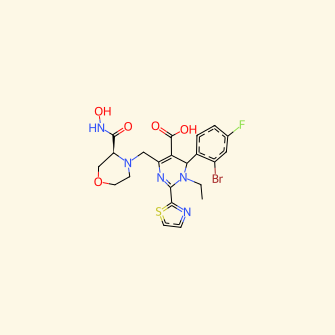 CCN1C(c2nccs2)=NC(CN2CCOC[C@H]2C(=O)NO)=C(C(=O)O)C1c1ccc(F)cc1Br